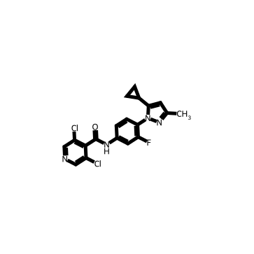 Cc1cc(C2CC2)n(-c2ccc(NC(=O)c3c(Cl)cncc3Cl)cc2F)n1